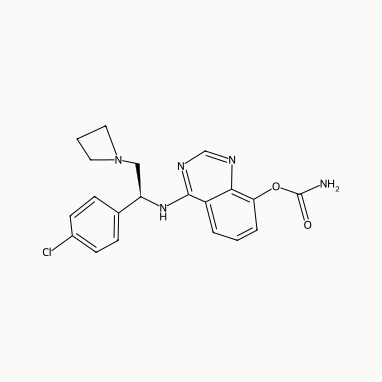 NC(=O)Oc1cccc2c(N[C@H](CN3CCC3)c3ccc(Cl)cc3)ncnc12